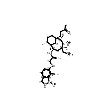 CC(=O)CC[C@]12CC[C@@H](C)[C@](C)(C1)[C@H](OC(=O)COc1ccc3c(c1F)B(O)OC3)C[C@@](C)(CN)[C@@H](O)[C@@H]2C